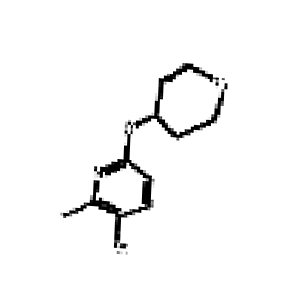 Cc1nc(OC2CCOCC2)ccc1Br